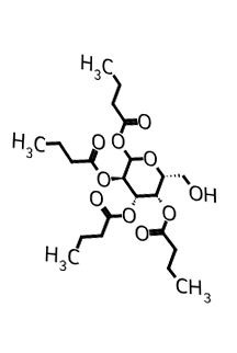 CCCC(=O)OC1O[C@H](CO)[C@H](OC(=O)CCC)[C@H](OC(=O)CCC)[C@H]1OC(=O)CCC